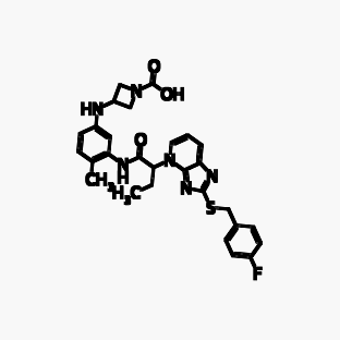 CCC(C(=O)Nc1cc(NC2CN(C(=O)O)C2)ccc1C)n1cccc2nc(SCc3ccc(F)cc3)nc1-2